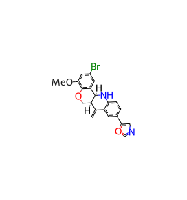 C=C1c2cc(-c3cnco3)ccc2N[C@@H]2c3cc(Br)cc(OC)c3OC[C@H]12